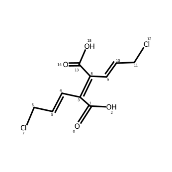 O=C(O)C(C=CCCl)=C(C=CCCl)C(=O)O